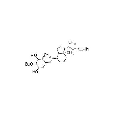 C=C1/C(=C\C=C2CCC[C@@]3(C)C2CC[C@@H]3[C@H](C)CCCC(C)C)C[C@@H](O)[C@H](OCC(C)C)[C@H]1O